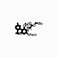 C=C(C)c1ccc(C)cc1-c1c(O)cc(CCCCC)cc1OP(C)(=O)N[C@@H](C)C(=O)OCC(C)(C)C